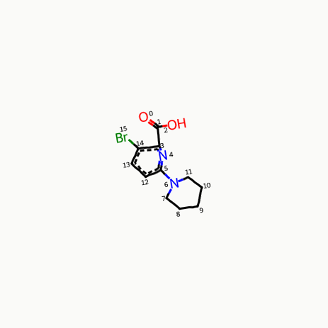 O=C(O)c1nc(N2CCCCC2)ccc1Br